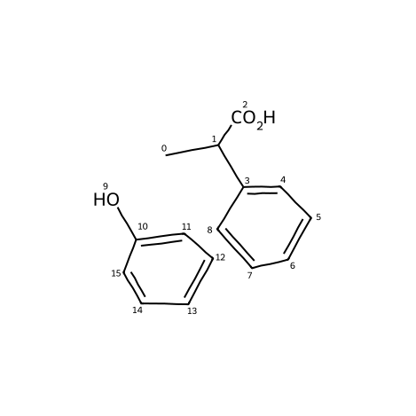 CC(C(=O)O)c1ccccc1.Oc1ccccc1